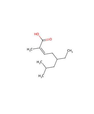 CCC(CC=C(C)C(=O)O)CC(C)C